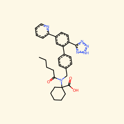 CCCCC(=O)N(Cc1ccc(-c2cc(-c3ccccn3)ccc2-c2nn[nH]n2)cc1)C1(C(=O)O)CCCCC1